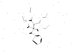 CCOC(=O)C(C(=O)OCC)C(C(=O)OCC)(C(=O)OCC)C(=O)c1ccccc1